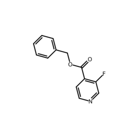 O=C(OCc1ccccc1)c1ccncc1F